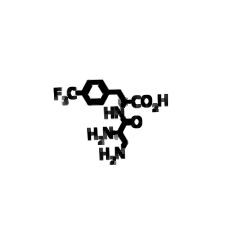 NC[C@@H](N)C(=O)N[C@@H](Cc1ccc(C(F)(F)F)cc1)C(=O)O